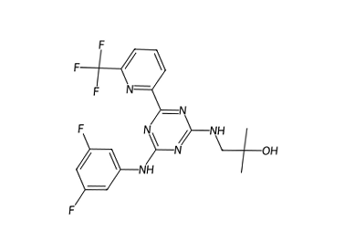 CC(C)(O)CNc1nc(Nc2cc(F)cc(F)c2)nc(-c2cccc(C(F)(F)F)n2)n1